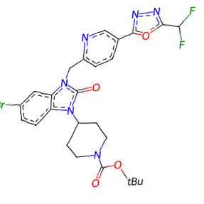 CC(C)(C)OC(=O)N1CCC(n2c(=O)n(Cc3ccc(-c4nnc(C(F)F)o4)cn3)c3cc(Br)ccc32)CC1